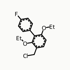 CCOc1ccc(CCl)c(OCC)c1-c1ccc(F)cc1